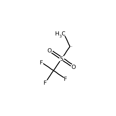 C[CH]S(=O)(=O)C(F)(F)F